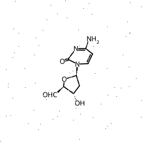 Nc1ccn([C@H]2C[C@H](O)[C@@H](C=O)O2)c(=O)n1